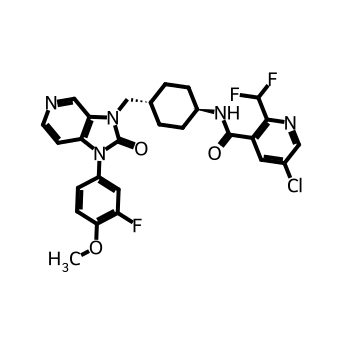 COc1ccc(-n2c(=O)n(C[C@H]3CC[C@H](NC(=O)c4cc(Cl)cnc4C(F)F)CC3)c3cnccc32)cc1F